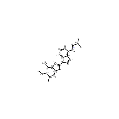 CSS[C@H](C)O[C@@H]1C[C@H](n2cnc3c(/N=C/N(C)C)ncnc32)O[C@@H]1CO